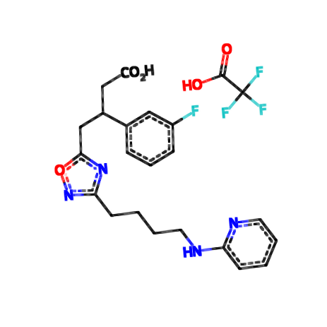 O=C(O)C(F)(F)F.O=C(O)CC(Cc1nc(CCCCNc2ccccn2)no1)c1cccc(F)c1